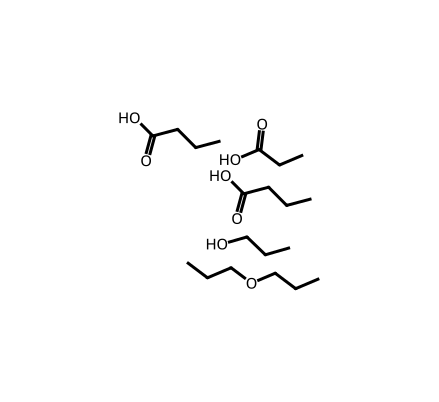 CCC(=O)O.CCCC(=O)O.CCCC(=O)O.CCCO.CCCOCCC